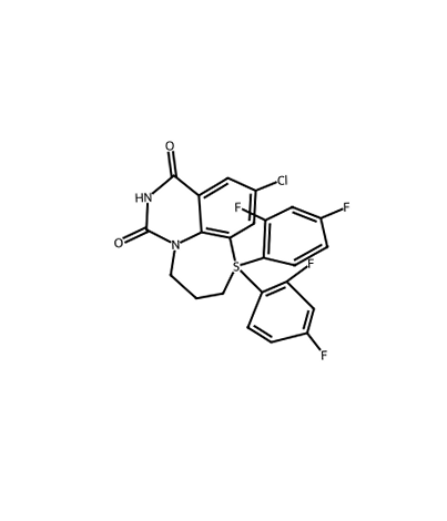 O=c1[nH]c(=O)n2c3c(cc(Cl)cc13)S(c1ccc(F)cc1F)(c1ccc(F)cc1F)CCC2